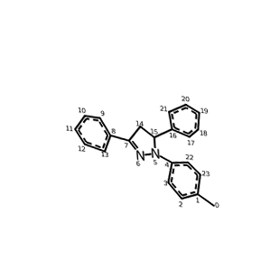 Cc1ccc(N2N=C(c3ccccc3)CC2c2ccccc2)cc1